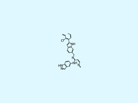 C=C/C(Cl)=C(\C=C/C)c1cc2ccc(C/N=C(\C=C/N=C)Nc3ccc4[nH]ncc4c3)cc2[nH]1